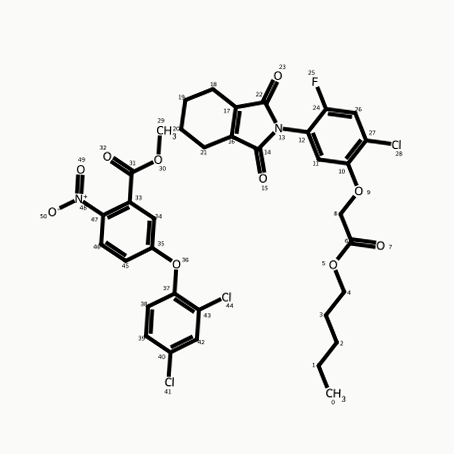 CCCCCOC(=O)COc1cc(N2C(=O)C3=C(CCCC3)C2=O)c(F)cc1Cl.COC(=O)c1cc(Oc2ccc(Cl)cc2Cl)ccc1[N+](=O)[O-]